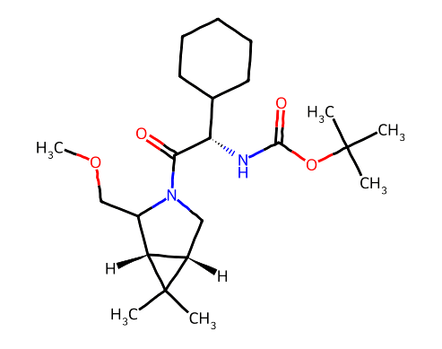 COCC1[C@@H]2[C@H](CN1C(=O)[C@@H](NC(=O)OC(C)(C)C)C1CCCCC1)C2(C)C